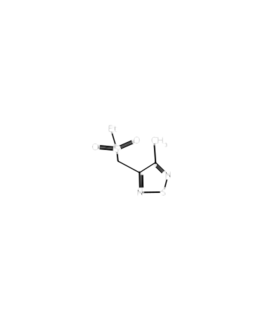 CCS(=O)(=O)Cc1nsnc1C